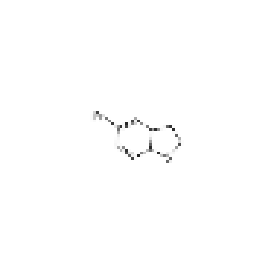 CC(C)C1=CC2CCSC2C=C1